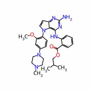 COc1cc(N2CCN(C)CC2)ccc1-n1ccc2nc(N)nc(Nc3ccccc3C(=O)OCC(C)C)c21